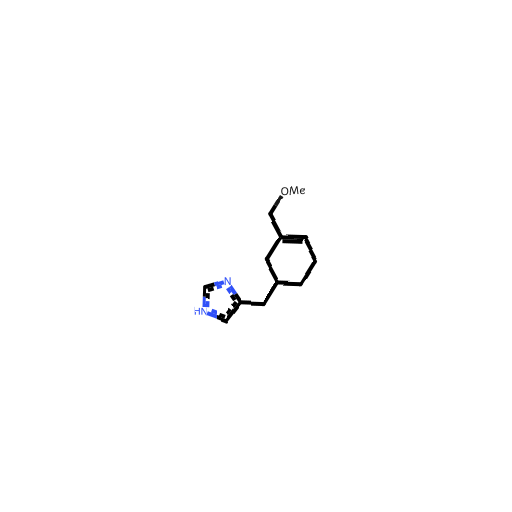 COCC1=CCCC(Cc2c[nH]cn2)C1